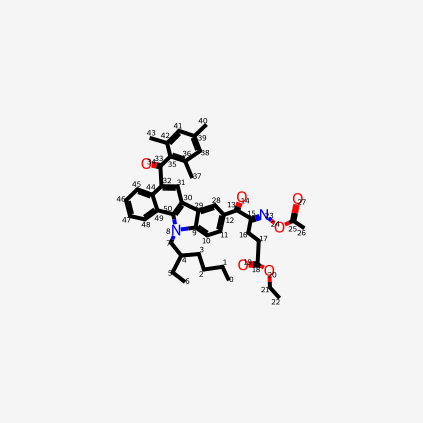 CCCCC(CC)Cn1c2ccc(C(=O)/C(CCC(=O)OCC)=N/OC(C)=O)cc2c2cc(C(=O)c3c(C)cc(C)cc3C)c3ccccc3c21